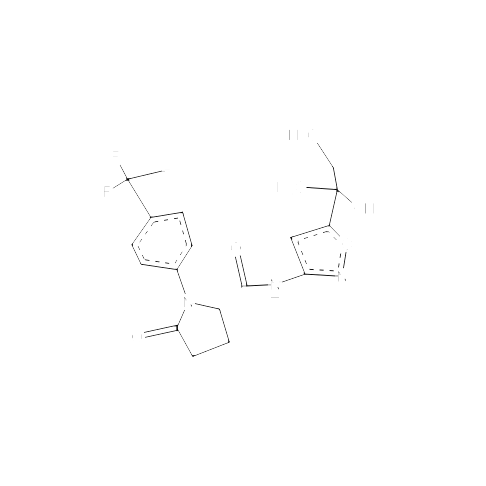 CCC(C)(C)c1cc(NC(=O)[C@@H]2CCC(=O)N2c2ccc(C(F)(F)F)cc2)no1